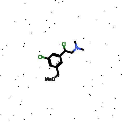 COCc1cc(Cl)cc(C(Cl)CN(C)C)c1